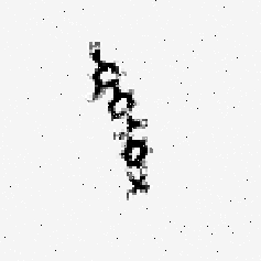 N#Cc1cnc(C2=CCN(C(=O)Nc3ccc(OC(F)(F)F)cc3)CC2)c(Cl)c1